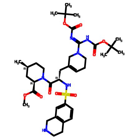 COC(=O)[C@H]1C[C@@H](C)CCN1C(=O)[C@H](CC1=CCCN(C(=NC(=O)OC(C)(C)C)NC(=O)OC(C)(C)C)C1)NS(=O)(=O)c1ccc2c(c1)CNCC2